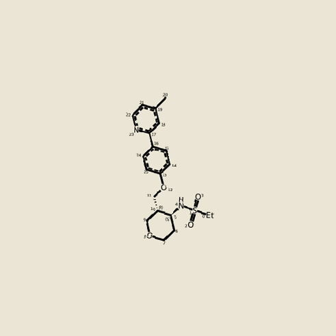 CCS(=O)(=O)N[C@H]1CCOC[C@@H]1COc1ccc(-c2cc(C)ccn2)cc1